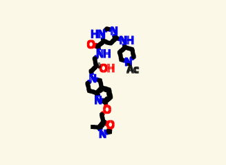 CC(=O)N1CCC(NC2=NCNC(C(=O)NC[C@H](O)CN3CCc4nc(OCc5ocnc5C)ccc4C3)C2)CC1